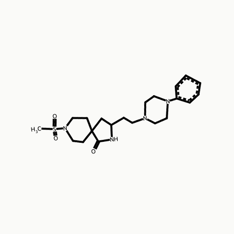 CS(=O)(=O)N1CCC2(CC1)CC(CCN1CCN(c3ccccc3)CC1)NC2=O